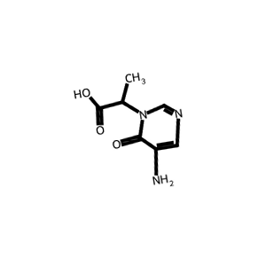 CC(C(=O)O)n1cncc(N)c1=O